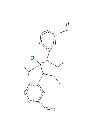 C=Cc1cccc(C(CC)[Si](Cl)(C(C)C)C(CC)c2cccc(C=C)c2)c1